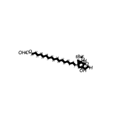 [3H][C@H]1C[C@@]2(O)C[C@]3(CCCCCCCCCCCCCCCCCOC=O)C[C@]3(OC(C)(C)C)[C@H]2O1